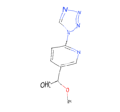 CC(C)OC(C=O)c1ccc(-n2cnnn2)nc1